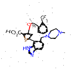 C[C@@H](Oc1cc(-c2c(CN3CCN(C)CC3)ccc3nc[nH]c23)sc1C(=O)O)c1ccccc1C(F)(F)F